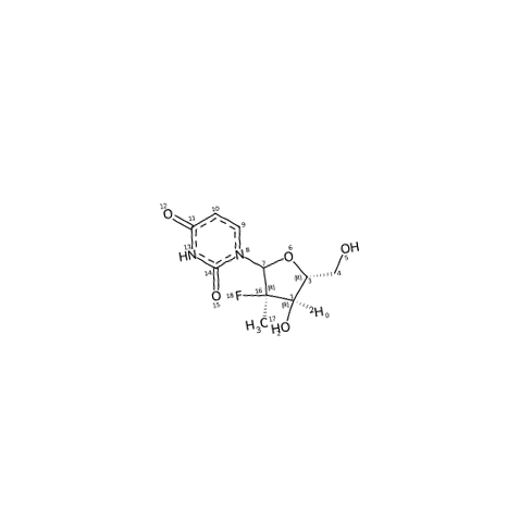 [2H][C@@]1(O)[C@@H](CO)OC(n2ccc(=O)[nH]c2=O)[C@]1(C)F